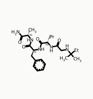 CCC(C)(C)NCC(=O)N[C@H](C(=O)N[C@@H](Cc1ccccc1)C(=O)N[C@@H](C)C(N)=O)C(C)C